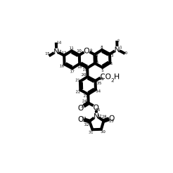 CN(C)c1ccc2c(c1)OC1=CC(N(C)C)C=CC1=C2c1ccc(C(=O)ON2C(=O)CCC2=O)cc1C(=O)O